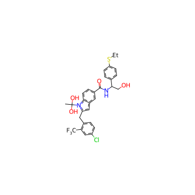 CCSc1ccc(C(CO)NC(=O)c2ccc3c(c2)cc(Cc2ccc(Cl)cc2C(F)(F)F)n3C(C)(O)O)cc1